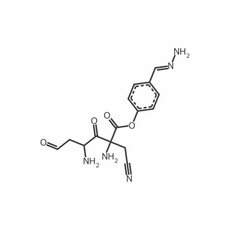 N#CCC(N)(C(=O)Oc1ccc(C=NN)cc1)C(=O)C(N)CC=O